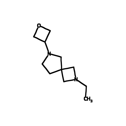 CCN1CC2(CCN(C3COC3)C2)C1